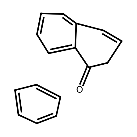 O=C1CC=Cc2ccccc21.c1ccccc1